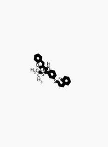 CC(C)(C)Sc1c(C(C=O)Cc2ccccc2)[nH]c2ccc(Sc3ccc4ccccc4n3)cc12